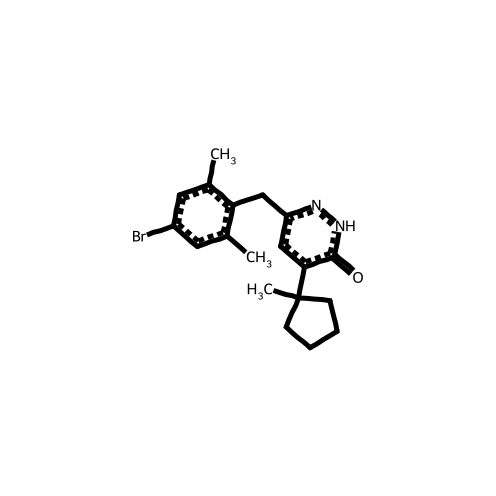 Cc1cc(Br)cc(C)c1Cc1cc(C2(C)CCCC2)c(=O)[nH]n1